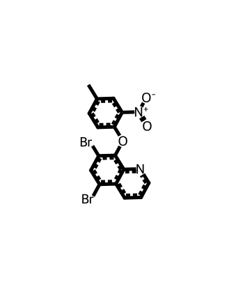 Cc1ccc(Oc2c(Br)cc(Br)c3cccnc23)c([N+](=O)[O-])c1